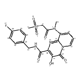 CN(C(=O)CS(C)(=O)=O)c1cccn2c(=O)c(O)c(C(=O)NCc3ccc(F)cc3)nc12